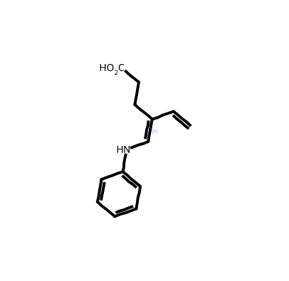 C=C/C(=C/Nc1ccccc1)CCC(=O)O